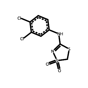 O=S1(=O)CSC(Nc2ccc(Cl)c(Cl)c2)=N1